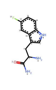 NC(=O)C(N)Cc1c[nH]c2ccc(F)cc12